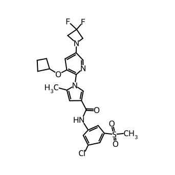 Cc1cc(C(=O)Nc2cc(Cl)cc(S(C)(=O)=O)c2)cn1-c1ncc(N2CC(F)(F)C2)cc1OC1CCC1